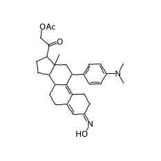 CC(=O)OCC(=O)C1CCC2C3CCC4=CC(=NO)CCC4=C3C(c3ccc(N(C)C)cc3)CC12C